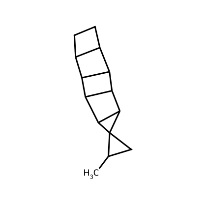 CC1CC12C1C3C4C5CCC5C4C3C12